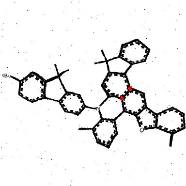 Cc1cccc(-c2cccc3c2oc2c(C)cccc23)c1N(c1ccc2c(c1)C(C)(C)c1ccccc1-2)c1ccc2c(c1)C(C)(C)c1cc(C(C)(C)C)ccc1-2